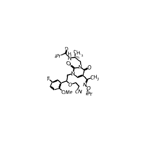 COc1ccc(F)cc1C(Cn1cc(C(C)=NOC(C)C)c(=O)n(C[C@H](C)NC(=O)C(C)C)c1=O)OCCC#N